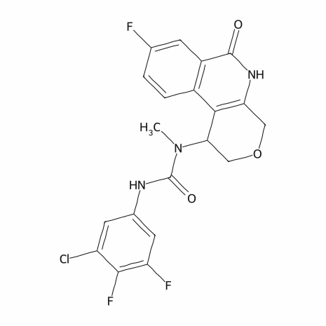 CN(C(=O)Nc1cc(F)c(F)c(Cl)c1)C1COCc2[nH]c(=O)c3cc(F)ccc3c21